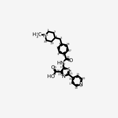 CN1CCC(Cc2ccc(C(=O)Nc3sc(-c4ccncc4)nc3C(=O)O)cc2)CC1